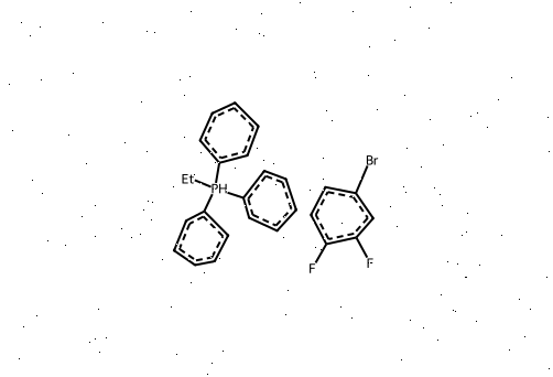 CC[PH](c1ccccc1)(c1ccccc1)c1ccccc1.Fc1ccc(Br)cc1F